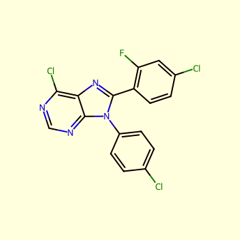 Fc1cc(Cl)ccc1-c1nc2c(Cl)ncnc2n1-c1ccc(Cl)cc1